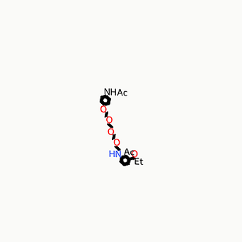 CCC(=O)c1cccc(NCCOCCOCCOCCOc2ccc(NC(C)=O)cc2)c1C(C)=O